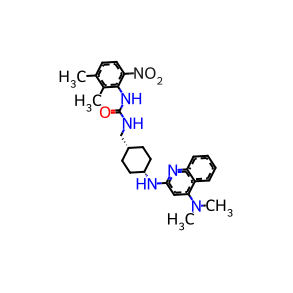 Cc1ccc([N+](=O)[O-])c(NC(=O)NC[C@H]2CC[C@@H](Nc3cc(N(C)C)c4ccccc4n3)CC2)c1C